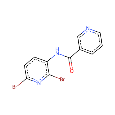 O=C(Nc1ccc(Br)nc1Br)c1cccnc1